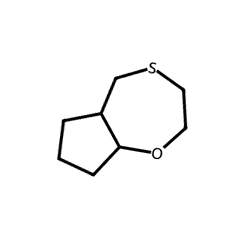 C1CC2CSCCOC2C1